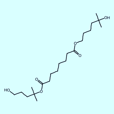 CC(C)(O)CCCCOC(=O)CCCCCCC(=O)OC(C)(C)CCCO